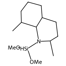 CO[SiH](OC)N1C(C)CCC2CCCC(C)C21